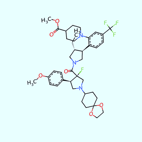 CC[C@H]1CN(C(=O)[C@]2(F)CN(C3CCC4(CC3)OCCO4)C[C@H]2c2ccc(OC)cc2)C[C@@H]1c1ccc(C(F)(F)F)cc1N1CCC(C(=O)OC)CC1